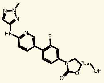 Cn1ncc(Nc2ccc(-c3ccc(N4C[C@H](CO)OC4=O)cc3F)cn2)n1